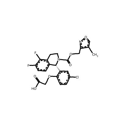 Cc1conc1COC(=O)N1CCc2c(ccc(F)c2F)[C@H]1c1cc(Cl)ccc1OCC(=O)O